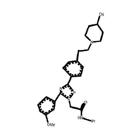 COc1cccc(-c2nc(-c3ccc(CCN4CCC(C#N)CC4)cc3)nn2CC(=O)NC(C)C)c1